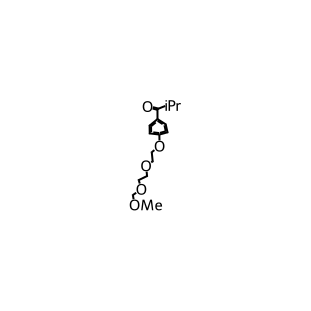 COCOCCOCCOc1ccc(C(=O)C(C)C)cc1